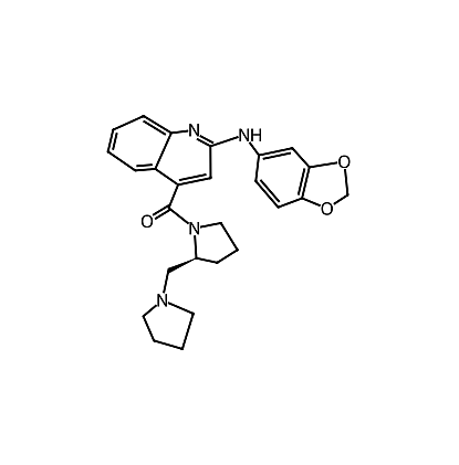 O=C(c1cc(Nc2ccc3c(c2)OCO3)nc2ccccc12)N1CCC[C@H]1CN1CCCC1